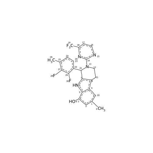 Cc1cc(O)c2[nH]c3c(c2c1)CCN(c1nccc(C(F)(F)F)n1)C3c1ccc(C)c(F)c1F